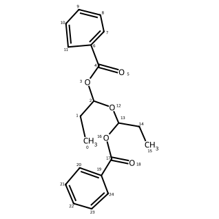 CCC(OC(=O)c1ccccc1)OC(CC)OC(=O)c1ccccc1